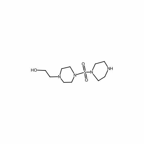 O=S(=O)(N1CCNCC1)N1CCN(CCO)CC1